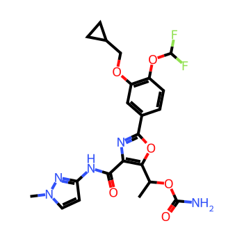 CC(OC(N)=O)c1oc(-c2ccc(OC(F)F)c(OCC3CC3)c2)nc1C(=O)Nc1ccn(C)n1